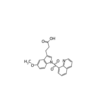 COc1ccc2c(c1)c(CCC(=O)O)cn2S(=O)(=O)c1cccc2cccnc12